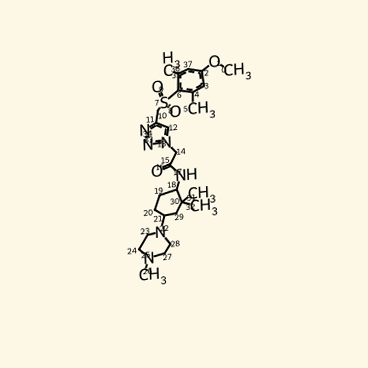 COc1cc(C)c(S(=O)(=O)Cc2cn(CC(=O)NC3CCC(N4CCN(C)CC4)CC3(C)C)nn2)c(C)c1